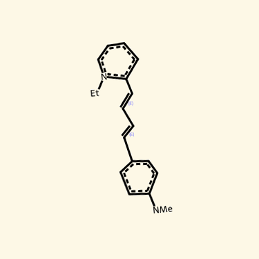 CC[n+]1ccccc1/C=C/C=C/c1ccc(NC)cc1